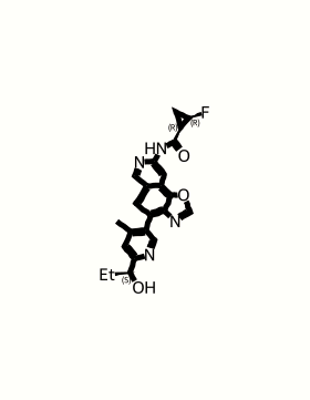 CC[C@H](O)c1cc(C)c(-c2cc3cnc(NC(=O)[C@H]4C[C@H]4F)cc3c3ocnc23)cn1